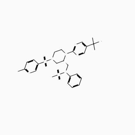 CC(C)(O)c1cnc(N2CCN(S(=O)(=O)c3ccc(Cl)nc3)C[C@@H]2CN(c2ccccc2)S(C)(=O)=O)nc1